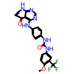 COc1ccc(NC(=O)Nc2ccc(Nc3ncnc4[nH]ccc(=O)c34)cc2)cc1C(F)(F)F